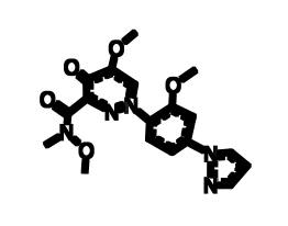 COc1cc(-n2cccn2)ccc1-n1cc(OC)c(=O)c(C(=O)N(C)OC)n1